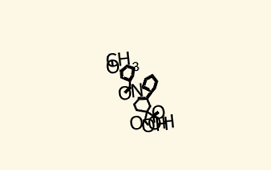 COc1cccc(C(=O)n2c3c(c4ccccc42)CC(C(=O)O)(C(=O)O)CC3)c1